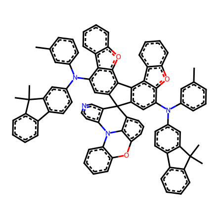 Cc1cccc(N(c2ccc3c(c2)C(C)(C)c2ccccc2-3)c2cc3c(c4c2oc2ccccc24)-c2c(cc(N(c4cccc(C)c4)c4ccc5c(c4)C(C)(C)c4ccccc4-5)c4c2oc2ccccc24)C32c3cnccc3N3c4ccccc4Oc4cccc2c43)c1